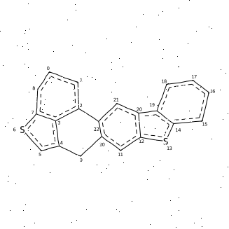 c1cc2c3c(csc3c1)Cc1cc3sc4ccccc4c3cc1-2